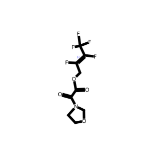 O=C(OC/C(F)=C(\F)C(F)(F)F)C(=O)N1CCOC1